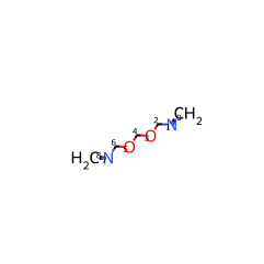 C=NCOCOCN=C